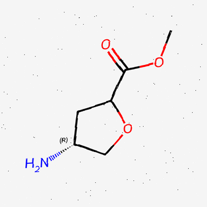 COC(=O)C1C[C@@H](N)CO1